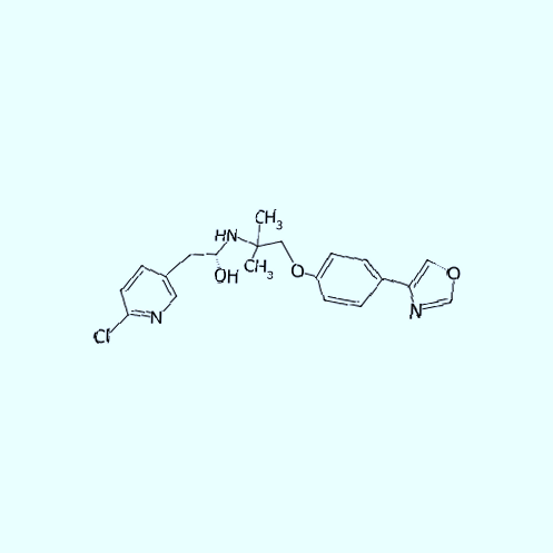 CC(C)(COc1ccc(-c2cocn2)cc1)N[C@H](O)Cc1ccc(Cl)nc1